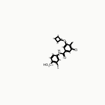 Cc1c(Cl)cc(C(=O)Nc2ccc(C(=O)O)c(F)c2)cc1OC1CCC1